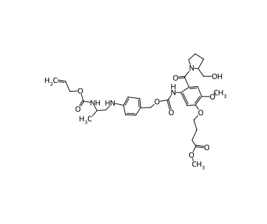 C=CCOC(=O)NC(C)CNc1ccc(COC(=O)Nc2cc(OCCCC(=O)OC)c(OC)cc2C(=O)N2CCCC2CO)cc1